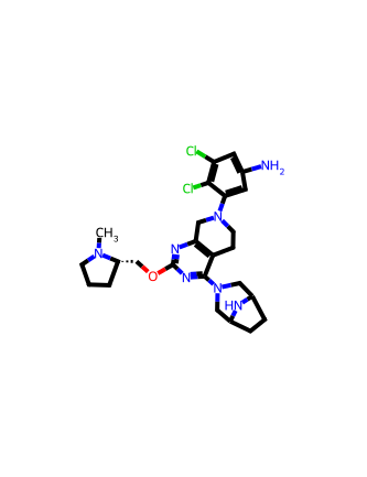 CN1CCC[C@H]1COc1nc2c(c(N3CC4CCC(C3)N4)n1)CCN(c1cc(N)cc(Cl)c1Cl)C2